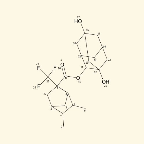 CC1C2CC(C1C)C(C(=O)OC1C3CC4CC(O)(C3)CC1(O)C4)(C(F)(F)F)C2